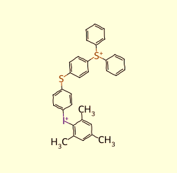 Cc1cc(C)c([I+]c2ccc(Sc3ccc([S+](c4ccccc4)c4ccccc4)cc3)cc2)c(C)c1